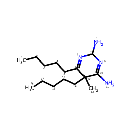 CCCCCC1=NC(N)N=C(N)C1(C)CCCCC